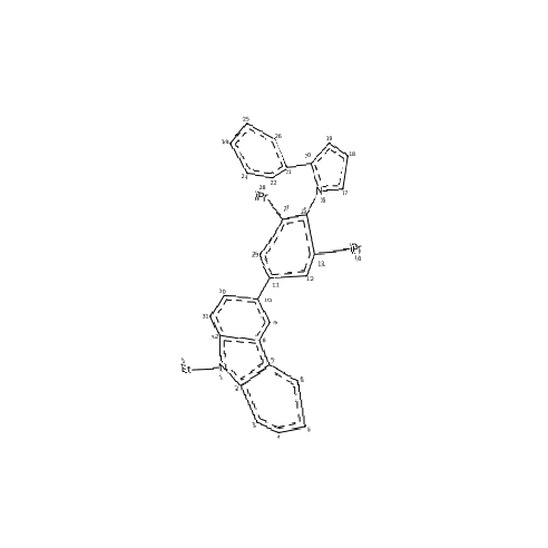 CCn1c2ccccc2c2cc(-c3cc(C(C)C)c(-n4cccc4-c4ccccc4)c(C(C)C)c3)ccc21